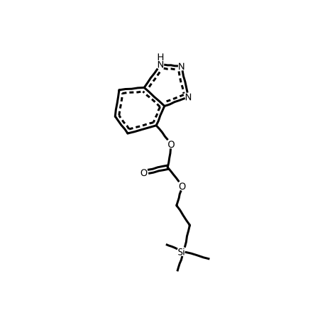 C[Si](C)(C)CCOC(=O)Oc1cccc2[nH]nnc12